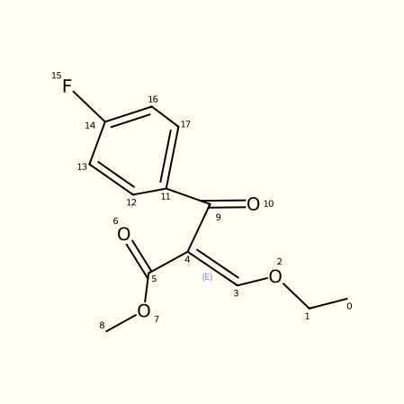 CCO/C=C(/C(=O)OC)C(=O)c1ccc(F)cc1